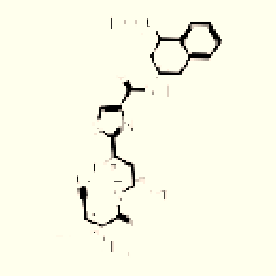 C#C[C@@H](CC)[C@H](C)C(=O)N[C@H](C[C@@H](C)c1nc(C(=O)N[C@H]2Cc3ccccc3C(C(=O)O)C2)cs1)C(C)C